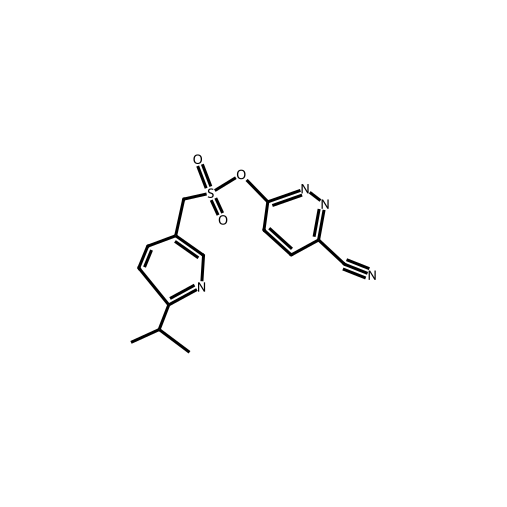 CC(C)c1ccc(CS(=O)(=O)Oc2ccc(C#N)nn2)cn1